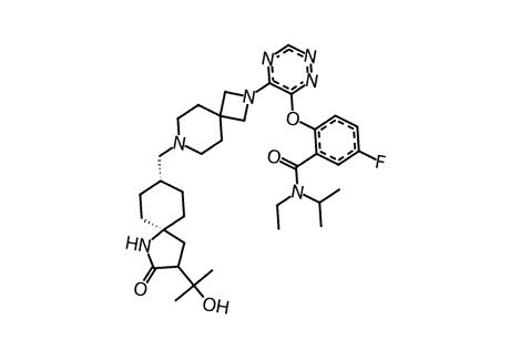 CCN(C(=O)c1cc(F)ccc1Oc1nncnc1N1CC2(CCN(C[C@H]3CC[C@]4(CC3)CC(C(C)(C)O)C(=O)N4)CC2)C1)C(C)C